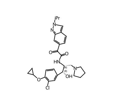 CC(C)n1cc2ccc(C(=O)C(=O)N[C@H](CN3CCCC3)[C@H](O)c3ccc(OC4CC4)c(Cl)c3)cc2n1